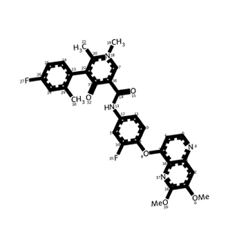 COc1cc2nccc(Oc3ccc(NC(=O)c4cn(C)c(C)c(-c5ccc(F)cc5C)c4=O)cc3F)c2nc1OC